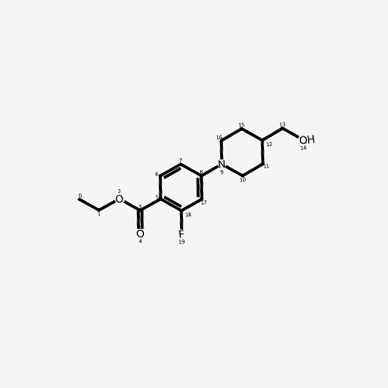 CCOC(=O)c1ccc(N2CCC(CO)CC2)cc1F